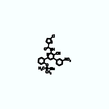 CC(C)(C)[Si](C)(C)Oc1ccccc1-c1cc(-c2cccc([N+](=O)[O-])c2)c(C#N)c(NC(=O)c2ccc(Cl)s2)n1